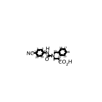 N#Cc1ccc(NC(=O)N(CCC(=O)O)Cc2ccccc2)cc1